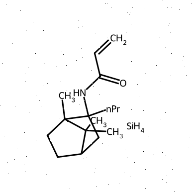 C=CC(=O)NC1(CCC)CC2CCC1(C)C2(C)C.[SiH4]